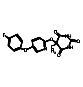 CC1(Oc2ccc(Oc3ccc(F)cc3)cn2)C(=O)NC(=O)NC1=O